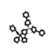 C(#CC1(c2ccccc2)c2ccccc2-c2cc(N(c3ccc(-c4ccccc4)cc3)c3ccc(-c4ccccc4)cc3)ccc21)c1ccccc1